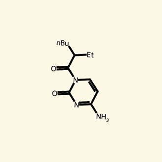 CCCCC(CC)C(=O)n1ccc(N)nc1=O